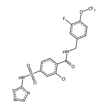 O=C(NCc1ccc(OC(F)(F)F)c(F)c1)c1ccc(S(=O)(=O)Nc2ncns2)cc1Cl